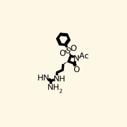 CC(=O)N1C(=O)[C@H](CCCNC(=N)N)[C@H]1S(=O)(=O)c1ccccc1